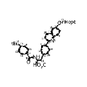 CCCCCCCOc1ccc2nc(-c3ccc(C[C@H](NC(=O)c4ccc(C(C)(C)C)cc4)C(=O)O)cc3)ccc2c1